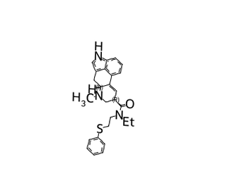 CCN(CCSc1ccccc1)C(=O)[C@@H]1C=C2c3cccc4[nH]cc(c34)C[C@H]2N(C)C1